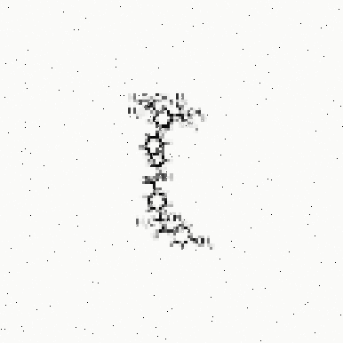 CN1CCN(C(=O)C(C)(C)c2ccc(C(=O)Nc3cn4cc(-c5cc(C(C)(C)C)cc(C(C)(C)C)c5)ccc4n3)cc2)CC1